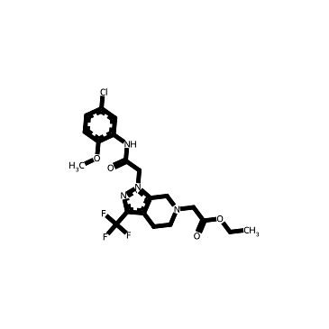 CCOC(=O)CN1CCc2c(C(F)(F)F)nn(CC(=O)Nc3cc(Cl)ccc3OC)c2C1